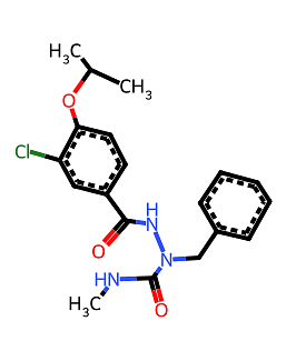 CNC(=O)N(Cc1ccccc1)NC(=O)c1ccc(OC(C)C)c(Cl)c1